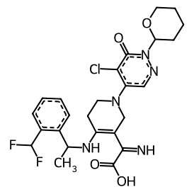 CC(NC1=C(C(=N)C(=O)O)CN(c2cnn(C3CCCCO3)c(=O)c2Cl)CC1)c1ccccc1C(F)F